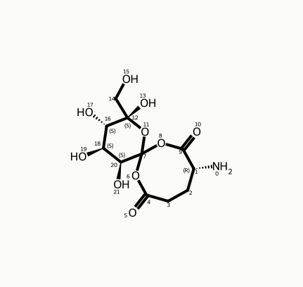 N[C@@H]1CCC(=O)OC2(OC1=O)O[C@@](O)(CO)[C@@H](O)[C@H](O)[C@@H]2O